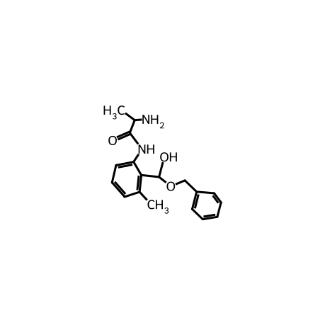 Cc1cccc(NC(=O)C(C)N)c1C(O)OCc1ccccc1